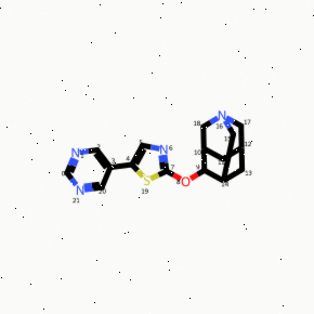 c1ncc(-c2cnc(OC3C4CC5CC3CN(C5)C4)s2)cn1